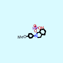 COc1ccc(N2CCc3ccccc3[C@@H]2O[PH](=O)O)cc1